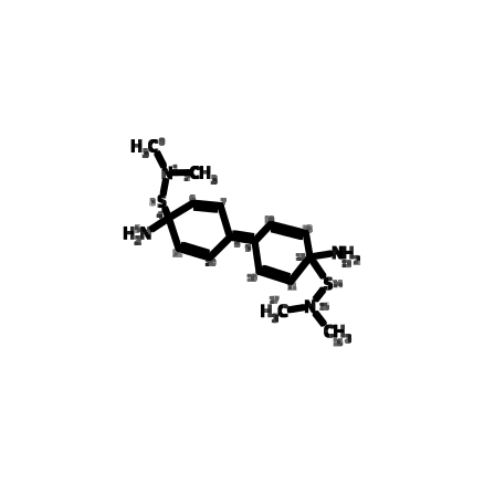 CN(C)SC1(N)C=CC(=C2C=CC(N)(SN(C)C)C=C2)C=C1